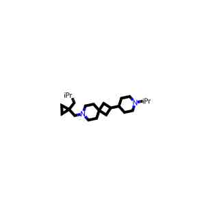 CC(C)CC1(CN2CCC3(CC2)CC(C2CCN(C(C)C)CC2)C3)CC1